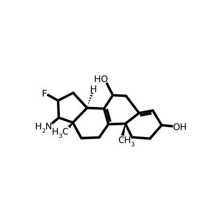 C[C@]12CCC(O)C=C1CC(O)C1=C2CC[C@]2(C)C(N)C(F)C[C@@H]12